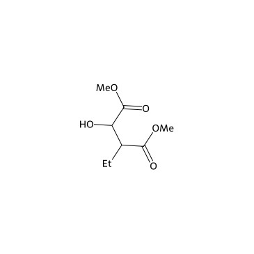 CCC(C(=O)OC)C(O)C(=O)OC